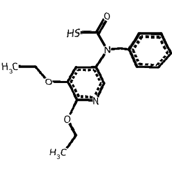 CCOc1cc(N(C(=O)S)c2ccccc2)cnc1OCC